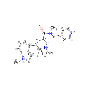 CCCN1C[C@H](C(=O)N(C)Cc2ccncc2)CC2c3cccc4c3c(cn4C(C)C)C[C@H]21